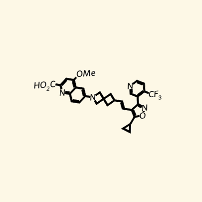 COc1cc(C(=O)O)nc2ccc(N3CC4(CC(/C=C/c5c(-c6cnccc6C(F)(F)F)noc5C5CC5)C4)C3)cc12